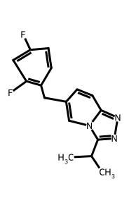 CC(C)c1nnc2ccc(Cc3ccc(F)cc3F)cn12